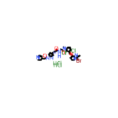 Cc1nc2c(OCc3c(Cl)ccc(N(C)C(=O)CNC(=O)/C=C/c4ccc(NC(=O)Cc5ccncc5)cc4)c3Cl)cccn2c1Br.Cl.Cl